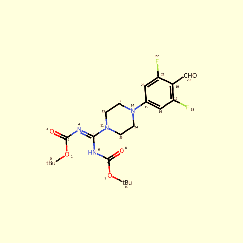 CC(C)(C)OC(=O)N=C(NC(=O)OC(C)(C)C)N1CCN(c2cc(F)c(C=O)c(F)c2)CC1